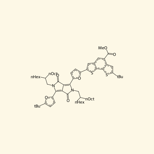 CCCCCCCCC(CCCCCC)CN1C(=O)C2=C(c3ccc(C(C)(C)C)o3)N(CC(CCCCCC)CCCCCCCC)C(=O)C2=C1c1ccc(-c2cc3cc(C(=O)OC)c4cc(C(C)(C)C)sc4c3s2)o1